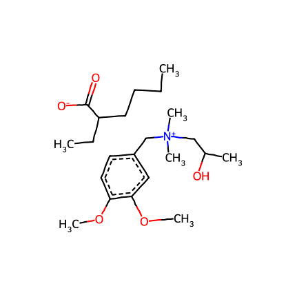 CCCCC(CC)C(=O)[O-].COc1ccc(C[N+](C)(C)CC(C)O)cc1OC